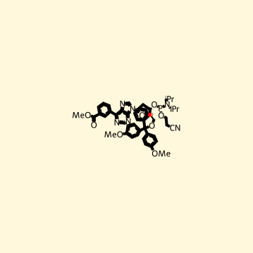 COC(=O)c1cccc(-c2ncnc3c2ncn3[C@H]2C[C@H](OP(OCCC#N)N(C(C)C)C(C)C)[C@@H](COC(c3ccccc3)(c3ccc(OC)cc3)c3ccc(OC)cc3)O2)c1